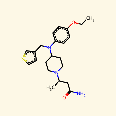 CCOc1ccc(N(Cc2ccsc2)C2CCN([C@H](C)CC(N)=O)CC2)cc1